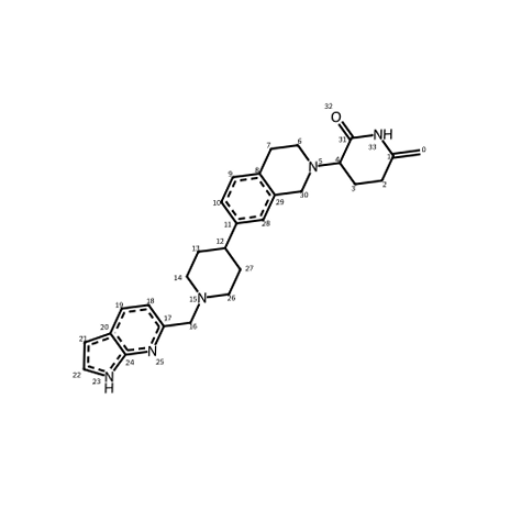 C=C1CCC(N2CCc3ccc(C4CCN(Cc5ccc6cc[nH]c6n5)CC4)cc3C2)C(=O)N1